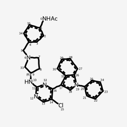 CC(=O)Nc1ccc(CN2CC[C@@H](Nc3ncc(Cl)c(-c4cn(-c5ccccc5)c5ccccc45)n3)C2)cc1